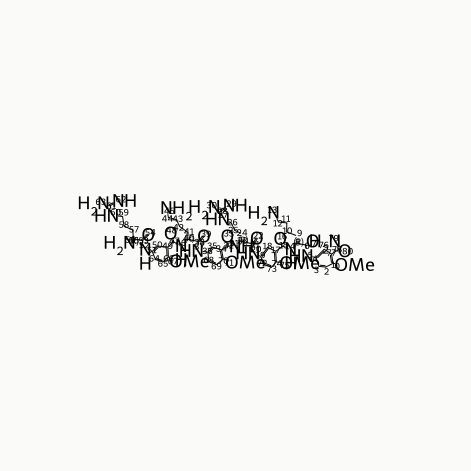 COc1ccc(NC(=O)[C@@H](CCCCN)NC(=O)c2cc(NC(=O)[C@@H](CCCNC(=N)N)NC(=O)c3cc(NC(=O)[C@@H](CCCCN)NC(=O)c4cc(NC(=O)[C@H](N)CCCNC(=N)N)ccc4OC)ccc3OC)ccc2OC)cc1C(N)=O